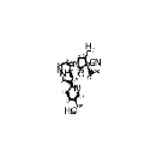 C[C@@H]1CN(c2ccnn3cc(-c4ccc(CO)cn4)cc23)C(=O)[C@]1(C#N)C1CC1